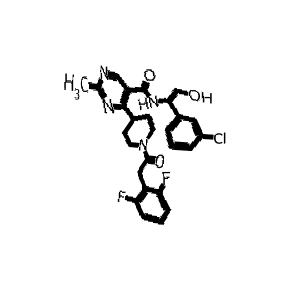 Cc1ncc(C(=O)NC(CO)c2cccc(Cl)c2)c(C2CCN(C(=O)Cc3c(F)cccc3F)CC2)n1